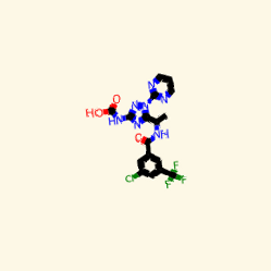 CC(NC(=O)c1cc(Cl)cc(C(F)(F)F)c1)c1nc(NC(=O)O)nn1-c1ncccn1